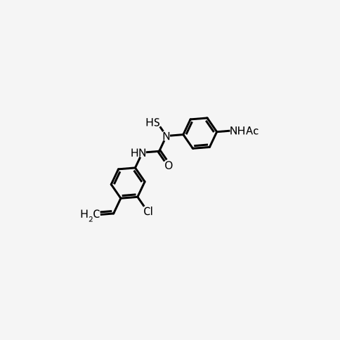 C=Cc1ccc(NC(=O)N(S)c2ccc(NC(C)=O)cc2)cc1Cl